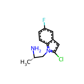 C[C@H](N)Cn1c(Cl)cc2cc(F)ccc21